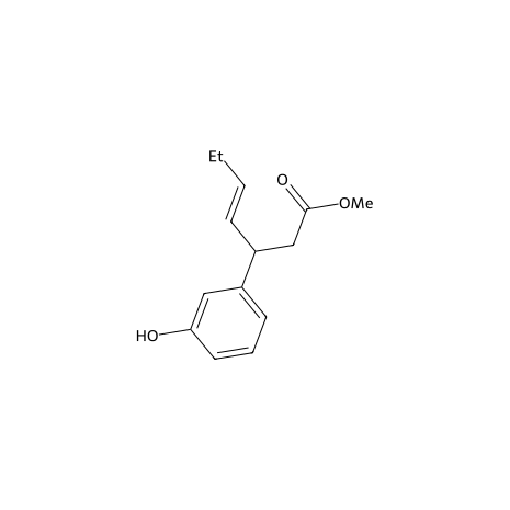 CC/C=C/C(CC(=O)OC)c1cccc(O)c1